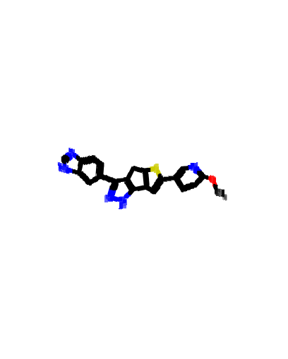 COc1ccc(-c2cc3c(s2)Cc2c(-c4ccc5nc[nH]c5c4)n[nH]c2-3)cn1